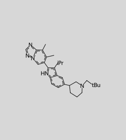 Cc1c(-c2[nH]c3ccc(C4CCCN(CC(C)(C)C)C4)cc3c2C(C)C)cn2ncnc2c1C